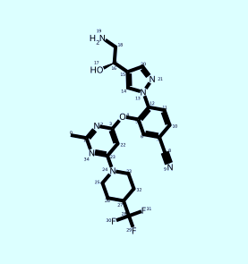 Cc1nc(Oc2cc(C#N)ccc2-n2cc([C@@H](O)CN)cn2)cc(N2CCC(C(F)(F)F)CC2)n1